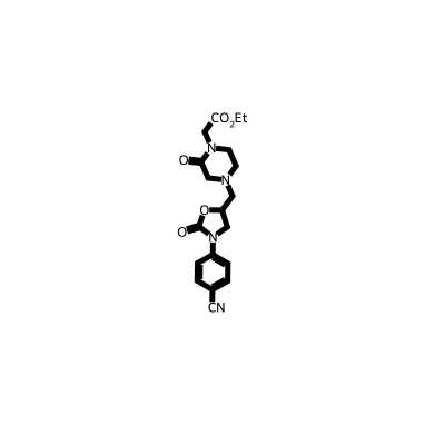 CCOC(=O)CN1CCN(CC2CN(c3ccc(C#N)cc3)C(=O)O2)CC1=O